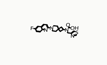 O=C(O)N(Cc1cscn1)C1CC2(CCN(c3ccc4cc(F)ccc4n3)CC2)C1